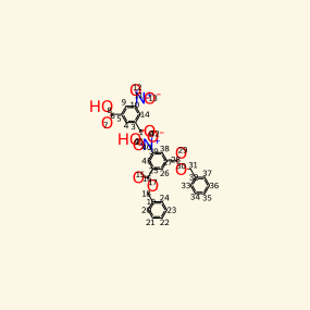 O=C(O)c1cc(C(=O)O)cc([N+](=O)[O-])c1.O=C(OCc1ccccc1)c1cc(C(=O)OCc2ccccc2)cc([N+](=O)[O-])c1